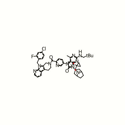 Cc1nc(NCC(C)(C)C)nc2c1n(-c1ccc(C(=O)N3CCc4c(n(Cc5ccc(Cl)cc5F)c5ncccc45)C3)nc1)c(=O)n2C1CC2CCC(C1)N2CC1(C(F)(F)F)CC1